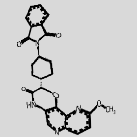 COc1ccc2ncc3c(c2n1)OC([C@H]1CC[C@H](N2C(=O)c4ccccc4C2=O)CC1)C(=O)N3